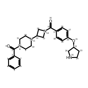 O=C(c1ccccc1)N1CCN(C2CN(C(=O)c3ccc(O[C@H]4CCNC4)cc3)C2)CC1